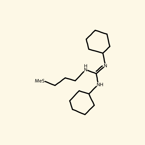 CSCCCN/C(=N\C1CCCCC1)NC1CCCCC1